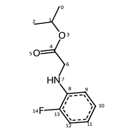 CC(C)OC(=O)CNc1ccccc1F